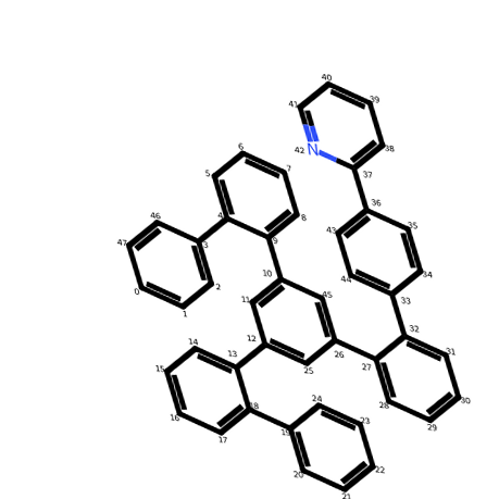 c1ccc(-c2ccccc2-c2cc(-c3ccccc3-c3ccccc3)cc(-c3ccccc3-c3ccc(-c4ccccn4)cc3)c2)cc1